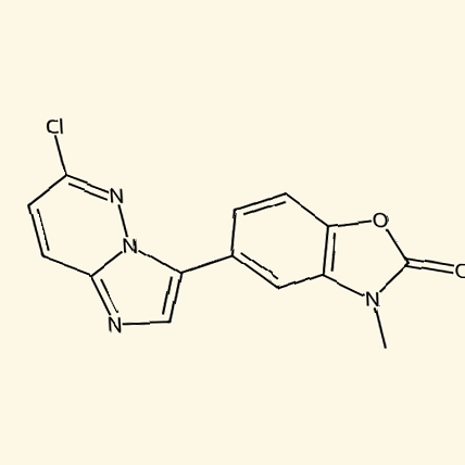 Cn1c(=O)oc2ccc(-c3cnc4ccc(Cl)nn34)cc21